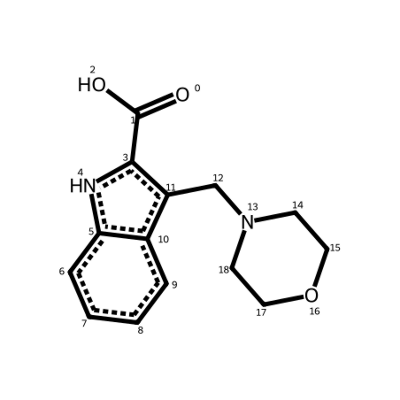 O=C(O)c1[nH]c2ccccc2c1CN1CCOCC1